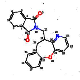 O=C1c2ccccc2C(=O)N1CC1Cc2ccccc2Oc2cccnc21